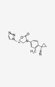 Cc1cc(N2C[C@H](Cn3ccnn3)OC2=O)ccc1C1(C#N)CC1